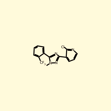 Cn1nc(-c2cccnc2Cl)nc1-c1ccccc1C(F)(F)F